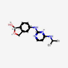 CCC(CC)Nc1ccnc(Nc2ccc3c(c2)COB3O)n1